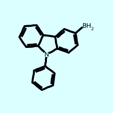 Bc1ccc2c(c1)c1ccccc1n2-c1ccccc1